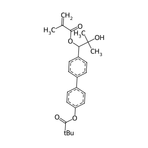 C=C(C)C(=O)OC(c1ccc(-c2ccc(OC(=O)C(C)(C)C)cc2)cc1)C(C)(C)O